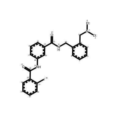 CCN(CC)Cc1ccccc1CNC(=O)c1cccc(NC(=O)c2ccccc2I)c1